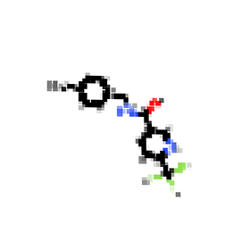 Cc1ccc(CNC(=O)c2ccc(C(F)(F)F)nc2)cc1